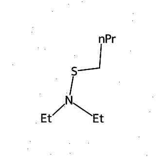 CCCCSN(CC)CC